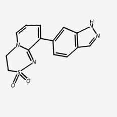 O=S1(=O)CCN2C=CC=C(c3ccc4cn[nH]c4c3)C2=N1